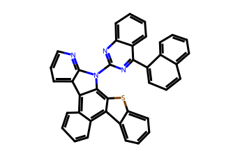 c1ccc2c(-c3nc(-n4c5ncccc5c5c6ccccc6c6c7ccccc7sc6c54)nc4ccccc34)cccc2c1